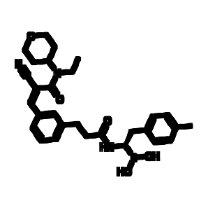 CCN(C(=O)C(C#N)=Cc1cccc(CCC(=O)N[C@@H](Cc2ccc(C)cc2)B(O)O)c1)C1CCOCC1